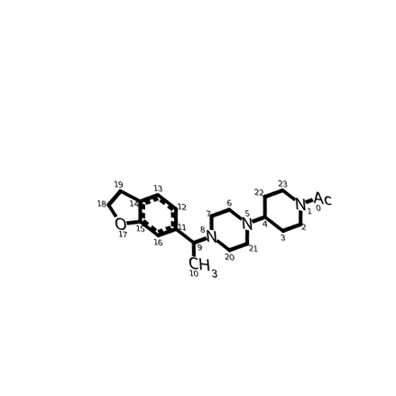 CC(=O)N1CCC(N2CCN(C(C)c3ccc4c(c3)OCC4)CC2)CC1